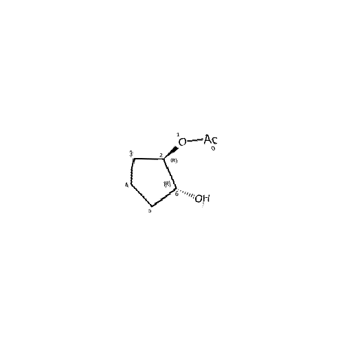 CC(=O)O[C@@H]1CCC[C@H]1O